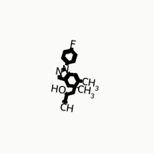 C#CC(O)C[C@@]1(C)Cc2cnn(-c3ccc(F)cc3)c2C=C1C